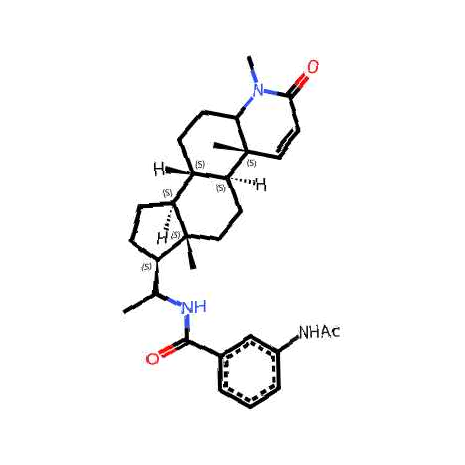 CC(=O)Nc1cccc(C(=O)NC(C)[C@H]2CC[C@H]3[C@@H]4CCC5N(C)C(=O)C=C[C@]5(C)[C@H]4CC[C@]23C)c1